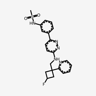 CS(=O)(=O)Nc1cccc(-c2ccc(NCC3(c4ccccn4)CC(F)C3)nn2)c1